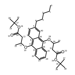 CCCCCc1ccc2c(OC(C)CC(=O)OC(C)(C)C)c3ccccc3c(OC(C)CC(=O)OC(C)(C)C)c2c1